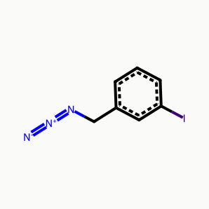 [N-]=[N+]=NCc1cccc(I)c1